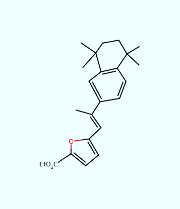 CCOC(=O)c1ccc(C=C(C)c2ccc3c(c2)C(C)(C)CCC3(C)C)o1